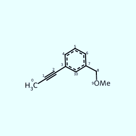 CC#Cc1cccc(COC)c1